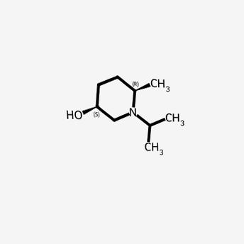 CC(C)N1C[C@@H](O)CC[C@H]1C